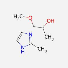 COCC(C)O.Cc1ncc[nH]1